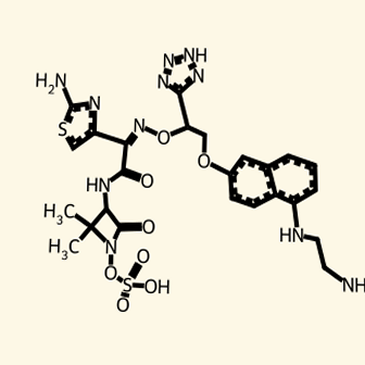 CC1(C)C(NC(=O)/C(=N\OC(COc2ccc3c(NCCN)cccc3c2)c2nn[nH]n2)c2csc(N)n2)C(=O)N1OS(=O)(=O)O